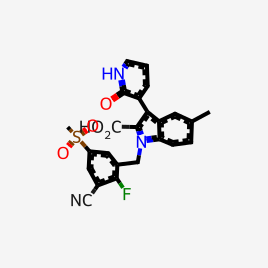 Cc1ccc2c(c1)c(-c1ccc[nH]c1=O)c(C(=O)O)n2Cc1cc(S(C)(=O)=O)cc(C#N)c1F